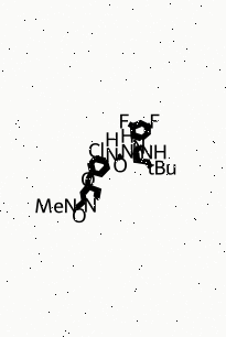 CNC(=O)c1cc(Oc2ccc(NC(=O)NC3=CC(C(C)(C)C)NN3c3cc(F)cc(F)c3)c(Cl)c2)ccn1